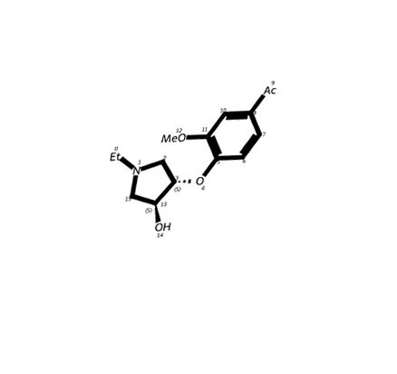 CCN1C[C@H](Oc2ccc(C(C)=O)cc2OC)[C@@H](O)C1